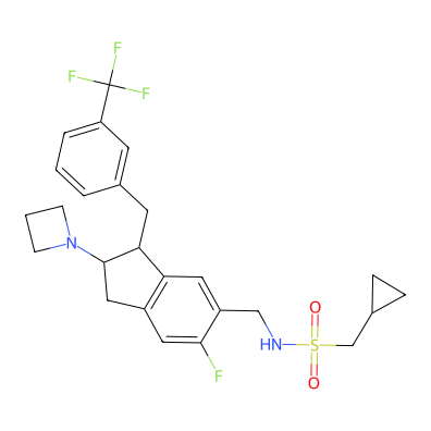 O=S(=O)(CC1CC1)NCc1cc2c(cc1F)CC(N1CCC1)C2Cc1cccc(C(F)(F)F)c1